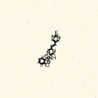 O=S(=O)(Nc1cnc(/C=C/c2cnc(F)nc2)cn1)c1ccccc1Cl